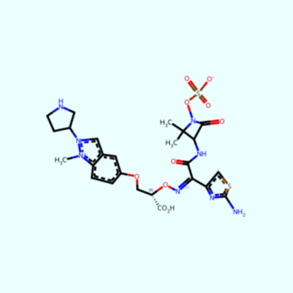 C[n+]1c2ccc(OC[C@H](O/N=C(\C(=O)NC3C(=O)N(OS(=O)(=O)[O-])C3(C)C)c3csc(N)n3)C(=O)O)cc2cn1C1CCNC1